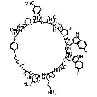 COc1ccc(C[C@@H]2NC(=O)[C@H]([C@@H](C)O)NC(=O)[C@@H]3C[C@H](F)CN3C(=O)[C@H](Cc3c[nH]c4ccc(F)cc34)NC(=O)[C@H](Cc3c[nH]c4ccc(F)cc34)NC(=O)[C@@H](C)NC(=O)[C@H](CCCCN)NC(=O)[C@@H](NC(=O)C(C)(C)C)CC(=O)NCCOc3ccc(cc3)C[C@@H](C(N)=O)NC(=O)[C@]3(C)CCCN3C2=O)cc1